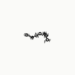 Fc1cc(F)cc(-c2cnc3nnn(Cc4cccc(-c5ncc(-c6cnn(CCN7CCOCC7)c6)cn5)c4)c3n2)c1